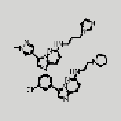 Clc1cccc(-c2cnc3ccc(NCCN4CCCC4)nn23)c1.Cn1cc(-c2cnc3ccc(NCCCn4ccnc4)nn23)cn1